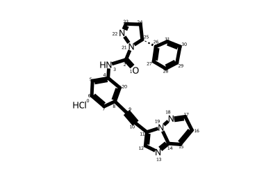 Cl.O=C(Nc1cccc(C#Cc2cnc3cccnn23)c1)N1N=CC[C@@H]1c1ccccc1